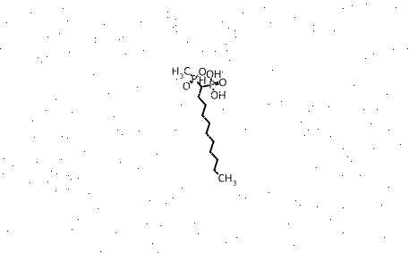 CCCCCCCCCCC(P(C)(=O)O)P(=O)(O)O